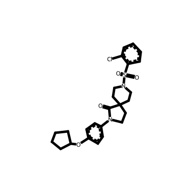 O=C1N(c2ccc(OC3CCCC3)cc2)CCC12CCN(S(=O)(=O)c1ccccc1Cl)CC2